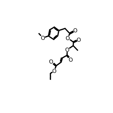 CCOC(=O)/C=C/C(=O)OC(C)C(=O)OC(=O)Cc1ccc(OC)cc1